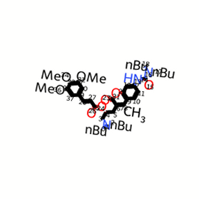 CCCCN(CCCC)CC(Cc1c(C)c2ccc(NC(=O)N(CCCC)CCCC)cc2oc1=O)OC(=O)C=Cc1cc(OC)c(OC)c(OC)c1